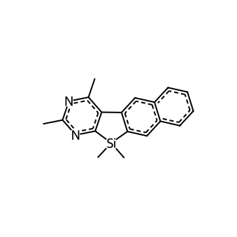 Cc1nc(C)c2c(n1)[Si](C)(C)c1cc3ccccc3cc1-2